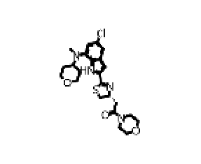 CN(c1cc(Cl)cc2cc(C3=N[C@H](CC(=O)N4CCOCC4)CS3)[nH]c12)C1CCOCC1